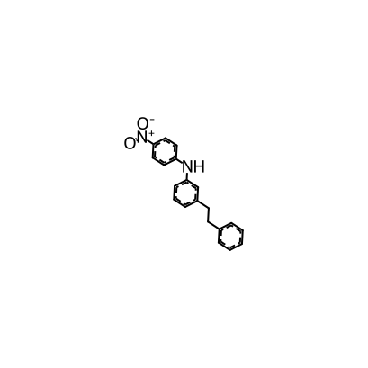 O=[N+]([O-])c1ccc(Nc2cccc(CCc3ccccc3)c2)cc1